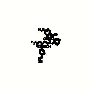 CC(C)CN(C[C@@H](O)[C@H](Cc1ccccc1)NC(=O)[C@H](CC(N)=O)NC(=O)O)S(=O)(=O)c1ccc(/C=N/O)cc1